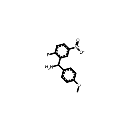 COc1ccc(C(N)c2cc([N+](=O)[O-])ccc2F)cc1